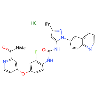 CNC(=O)c1cc(Oc2ccc(NC(=O)Nc3cc(C(C)C)nn3-c3ccc4ncccc4c3)c(F)c2)ccn1.Cl